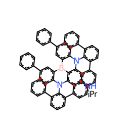 CC(C)Nc1cc2c3c(c1)N(c1c(-c4ccccc4)cccc1-c1ccccc1)c1ccc(-c4ccccc4)cc1B3c1cc(-c3ccccc3)ccc1N2c1c(-c2ccccc2)cccc1-c1ccccc1